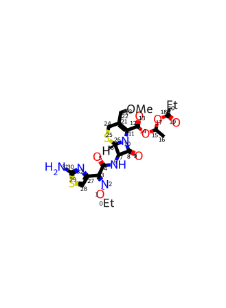 CCON=C(C(=O)NC1C(=O)N2C(C(=O)OC(C)OC(=O)CC)=C(COC)CS[C@@H]12)c1csc(N)n1